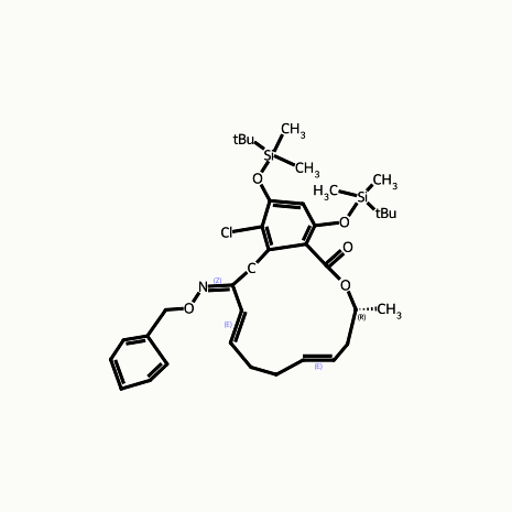 C[C@@H]1C/C=C/CC/C=C/C(=N\OCc2ccccc2)Cc2c(Cl)c(O[Si](C)(C)C(C)(C)C)cc(O[Si](C)(C)C(C)(C)C)c2C(=O)O1